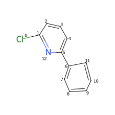 Clc1cccc(-c2ccccc2)n1